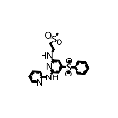 CS(=O)(=O)CCNc1cc(S(=O)(=O)c2ccccc2)cc(Nc2ccccn2)n1